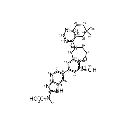 CN(C(=O)O)c1nc2ncc(-c3ccc4c(c3)CN(c3ncnc5c3CC(C)(C)C=C5)CCO4)cc2[nH]1.Cl.Cl